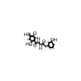 O=C(Cc1cccc(O)c1)NNC(=O)c1cc(Cl)c(O)cc1O